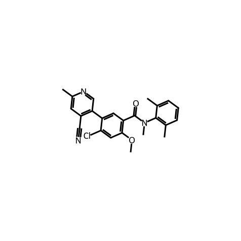 COc1cc(Cl)c(-c2cnc(C)cc2C#N)cc1C(=O)N(C)c1c(C)cccc1C